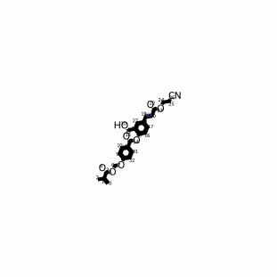 C=C(C)C(=O)OCOc1ccc(C(=O)Oc2ccc(/C=C/C(=O)OCCC#N)cc2CO)cc1